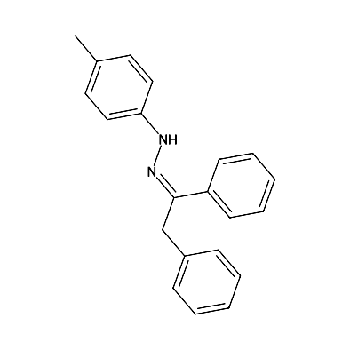 Cc1ccc(NN=C(Cc2ccccc2)c2ccccc2)cc1